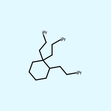 CC(C)CCC1CCCCC1(CCC(C)C)CCC(C)C